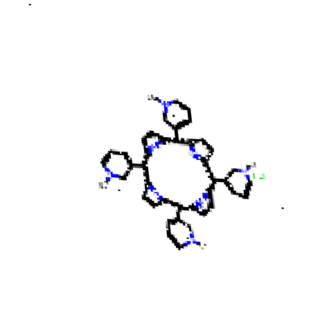 CCN1C=CC=C(c2c3nc(c(C4=CC=CN(CC)C4)c4ccc([nH]4)c(C4=CC=CN(CC)C4)c4nc(c(C5=CC=CN(CC)C5)c5ccc2[nH]5)C=C4)C=C3)C1.Cl